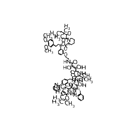 CCC(C)(C)C(=O)C(=O)N1CCCC[C@H]1C(=O)O[C@H](CCc1ccc(OC)c(OC)c1)c1cccc(OCCNC(=O)[C@@H](O)[C@@H](O)C(=O)N[C@H](C(=O)NN(Cc2ccc(-c3ccccn3)cc2)C[C@H](O)[C@H](Cc2ccccc2)NC(=O)[C@@H](NC(=O)OC(C)(C)C)C(C)(C)C)C(C)(C)C)c1